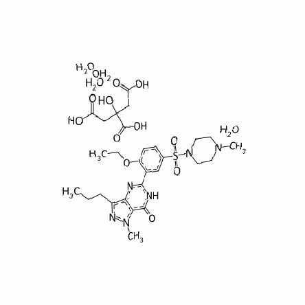 CCCc1nn(C)c2c(=O)[nH]c(-c3cc(S(=O)(=O)N4CCN(C)CC4)ccc3OCC)nc12.O.O.O.O.O=C(O)CC(O)(CC(=O)O)C(=O)O